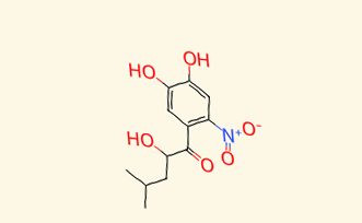 CC(C)CC(O)C(=O)c1cc(O)c(O)cc1[N+](=O)[O-]